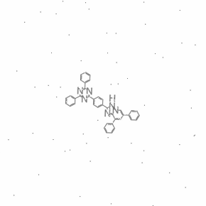 C1=C(c2ccccc2)C=C(c2ccccc2)C2=NC(c3ccc(-c4nc(-c5ccccc5)nc(-c5ccccc5)n4)cc3)NN12